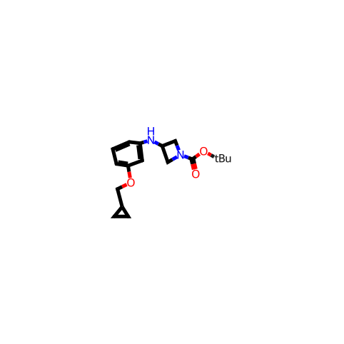 CC(C)(C)OC(=O)N1CC(Nc2cccc(OCC3CC3)c2)C1